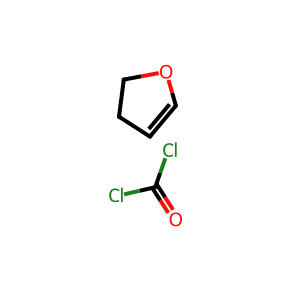 C1=COCC1.O=C(Cl)Cl